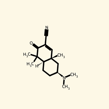 CN(C)[C@H]1CC[C@H]2C(C)(C)C(=O)C(C#N)=C[C@]2(C)C1